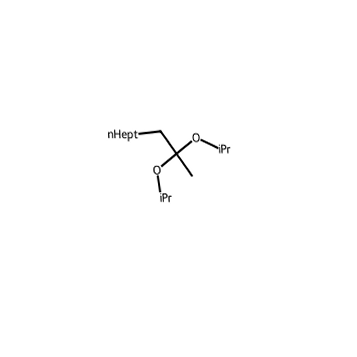 CCCCCCCCC(C)(OC(C)C)OC(C)C